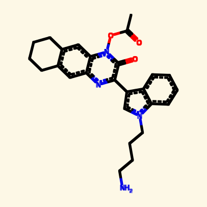 CC(=O)On1c(=O)c(-c2cn(CCCCN)c3ccccc23)nc2cc3c(cc21)CCCC3